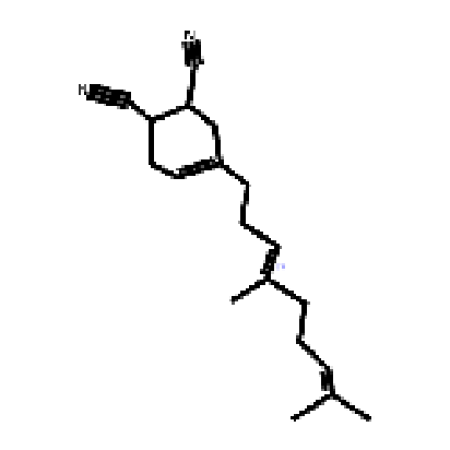 CC(C)=CCC/C(C)=C/CCC1=CCC(C#N)C(C#N)C1